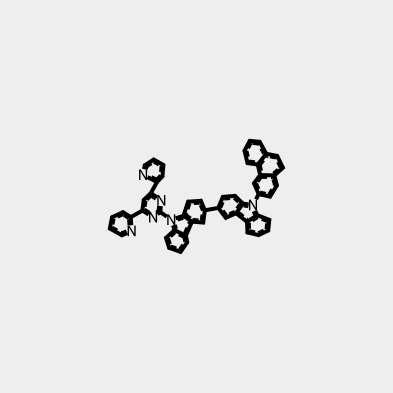 c1ccc(-c2cc(-c3ccccn3)nc(-n3c4ccccc4c4cc(-c5ccc6c(c5)c5ccccc5n6-c5ccc6ccc7ccccc7c6c5)ccc43)n2)nc1